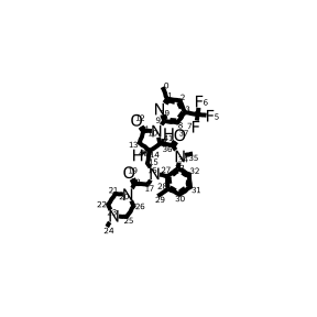 Cc1cc(C(F)(F)F)cc(N2C(=O)C[C@@H]3CN(CC(=O)N4CCN(C)CC4)c4c(C)cccc4N(C)C(=O)[C@H]32)n1